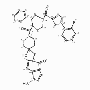 Cn1ccc2c(=O)n(CC3(O)CCN(C(=O)[C@@H]4CCN(C(=O)c5ccc(-c6ccncc6F)s5)C[C@H]4c4ccccc4)CC3)cnc21